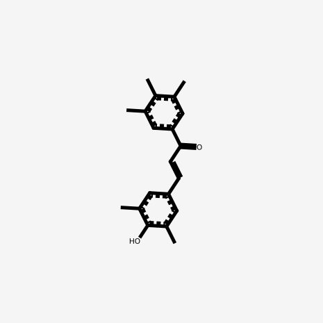 Cc1cc(C(=O)C=Cc2cc(C)c(O)c(C)c2)cc(C)c1C